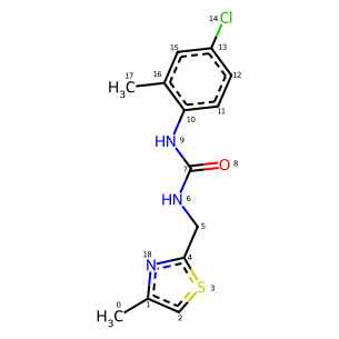 Cc1csc(CNC(=O)Nc2ccc(Cl)cc2C)n1